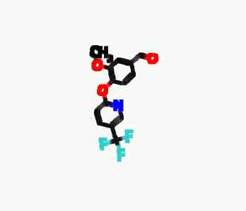 COc1cc(C=O)ccc1Oc1ccc(C(F)(F)F)cn1